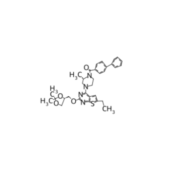 CCc1cc2c(N3CCN(C(=O)c4ccc(-c5ccccc5)cc4)[C@H](C)C3)nc(OC[C@H]3COC(C)(C)O3)nc2s1